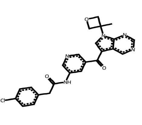 CC1(n2cc(C(=O)c3cncc(NC(=O)Cc4ccc(Cl)cc4)c3)c3cncnc32)COC1